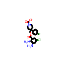 Nc1cc(Cl)cc(C(=O)OCC2(c3ccc(F)cc3)CCN(C(=O)O)CC2)c1N